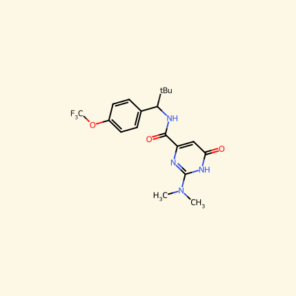 CN(C)c1nc(C(=O)NC(c2ccc(OC(F)(F)F)cc2)C(C)(C)C)cc(=O)[nH]1